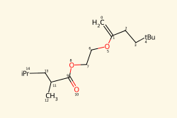 C=C(CCC(C)(C)C)OCCOC(=O)C(C)CC(C)C